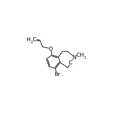 C=CCOc1ccc(Br)c2c1CCN(C)CC2